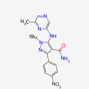 Cc1cncc(Nc2c(C(N)=O)c(-c3ccc([N+](=O)[O-])cc3)nn2C(C)(C)C)n1